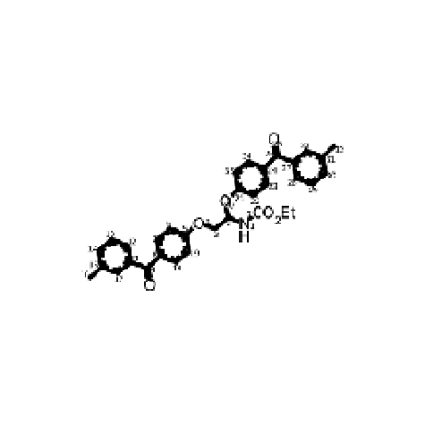 CCOC(=O)NC(COc1ccc(C(=O)c2cccc(C)c2)cc1)Oc1ccc(C(=O)c2cccc(C)c2)cc1